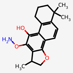 CC1COc2c1c(ON)c(O)c1c3c(ccc21)C(C)(C)CCC3